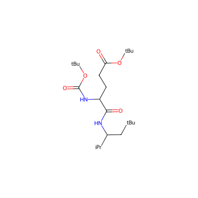 CC(C)C(CC(C)(C)C)NC(=O)C(CCC(=O)OC(C)(C)C)NC(=O)OC(C)(C)C